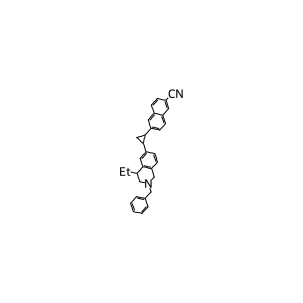 CCC1CN(Cc2ccccc2)Cc2ccc(C3CC3c3ccc4cc(C#N)ccc4c3)cc21